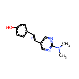 CN(C)c1ncc(/C=C/c2ccc(O)cc2)cn1